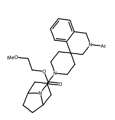 COCCOC(=O)N1C2CCC1CC(N1CCC3(CC1)CN(C(C)=O)Cc1ccccc13)C2